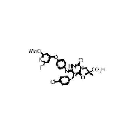 COc1cc(Oc2ccc(/N=c3\[nH]c(=O)n(CC(C)(C)C(=O)O)c(=O)n3Cc3ccc(Cl)cc3)cc2)cc(F)n1